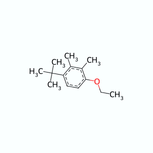 CCOc1ccc(C(C)(C)C)c(C)c1C